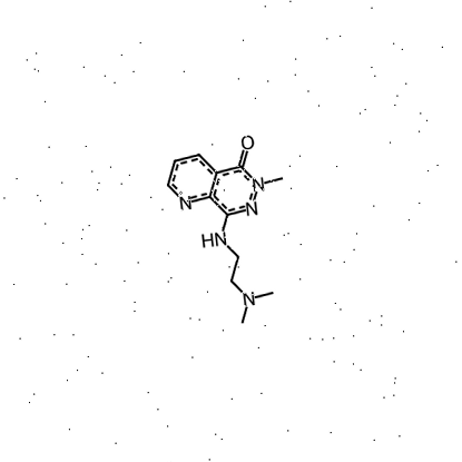 CN(C)CCNc1nn(C)c(=O)c2cccnc12